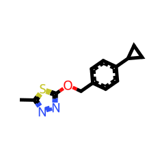 Cc1nnc(OCc2ccc(C3CC3)cc2)s1